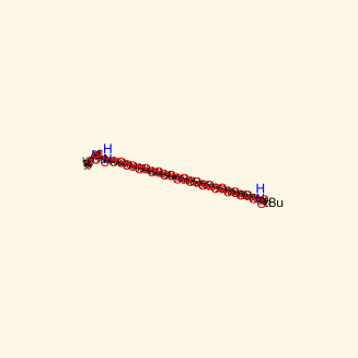 C#CCN(C/C=C/c1ccccc1C)C(=O)CCCC(=O)NCCOCCOCCOCCOCCOCCOCCOCCOCCOCCOCCOCCOCCOCCOCCOCCOCCOCCOCCOCCOCCOCCOCCOCCNC(=O)OC(C)(C)C